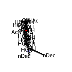 CCCCCCCCCCCCC/C=C/[C@@H](O)[C@H](CO[C@@H]1OC(CO)[C@@H](O[C@@H]2OC(CO)[C@H](O)[C@H](O[C@H]3OC(CO)[C@H](O)[C@H](O[C@@H]4OC(CO)[C@@H](O[C@@H]5OC(CO)[C@H](O)[C@H](O[C@]6(C(=O)O)CC(O)[C@@H](NC(C)=O)C([C@H](O)[C@H](O)CO)O6)C5O)[C@H](O)C4NC(C)=O)C3O)C2O)[C@H](O)C1O)NC(=O)CCCCCCCCCCCCCCCCCCCCCCC